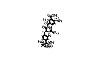 CC(C)Oc1ccc([C@H](C)NC(=O)[C@H](Cc2ccc(C(P(=O)(O)O)P(=O)(O)O)cc2)NC(=O)C(C)(C)C)cc1C(N)=O